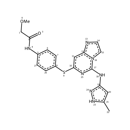 COCC(=O)Nc1ccc(Sc2cc3nccn3c(Nc3cc(C)[nH]n3)n2)cc1